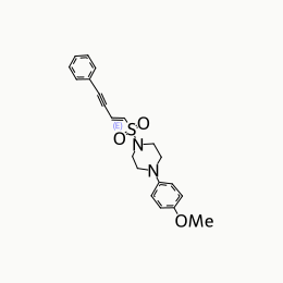 COc1ccc(N2CCN(S(=O)(=O)/C=C/C#Cc3ccccc3)CC2)cc1